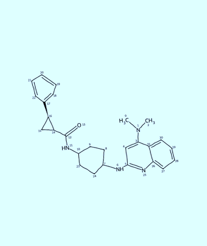 CN(C)c1cc(NC2CCC(NC(=O)C3C[C@H]3c3ccccc3)CC2)nc2ccccc12